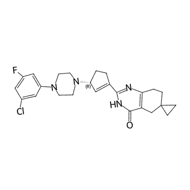 O=c1[nH]c(C2=C[C@H](N3CCN(c4cc(F)cc(Cl)c4)CC3)CC2)nc2c1CC1(CC2)CC1